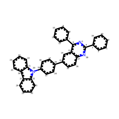 c1ccc(-c2nc(-c3ccccc3)c3cc(-c4ccc(-n5c6ccccc6c6ccccc65)cc4)ccc3n2)cc1